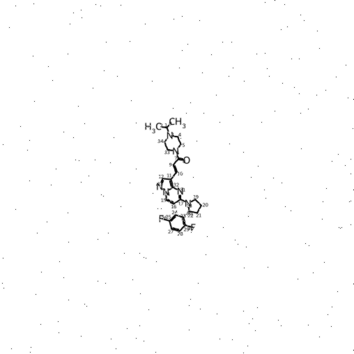 CC(C)N1CCN(C(=O)C=Cc2cnn3ccc(N4CCC[C@@H]4c4cc(F)ccc4F)nc23)CC1